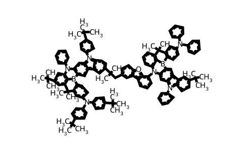 CC(C)(C)c1ccc(N(c2ccc(C(C)(C)C)cc2)c2ccc3c(c2)C(C)(C)c2cc(C(C)(C)C)cc4c2B3c2cc3c5cc(C(C)(C)Cc6ccc7oc8c(N9c%10cc%11c(cc%10B%10c%12ccc(N(c%13ccccc%13)c%13ccccc%13)cc%12C(C)(C)c%12cccc9c%12%10)c9cc(C(C)(C)C)ccc9n%11-c9ccccc9)cccc8c7c6)ccc5n(-c5ccc(C(C)(C)C)cc5)c3cc2N4c2ccccc2)cc1